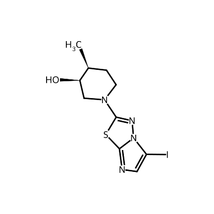 C[C@H]1CCN(c2nn3c(I)cnc3s2)C[C@H]1O